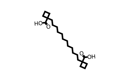 O=C(O)C1(CCCCCCCCCCCCC2(C(=O)O)CCC2)CCC1